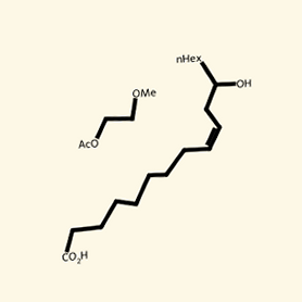 CCCCCCC(O)C/C=C\CCCCCCCC(=O)O.COCCOC(C)=O